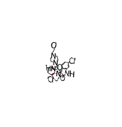 COCCN1CCN(C(=O)NC2CCCCN2[C@]2(Cc3cccc(Cl)c3)C(=O)Nc3cc(Cl)ccc32)CC1